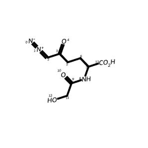 [N-]=[N+]=CC(=O)CCC(NC(=O)CO)C(=O)O